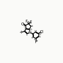 O=C1c2c(I)cn(-c3cc(F)cc(Cl)c3)c2CC1(F)F